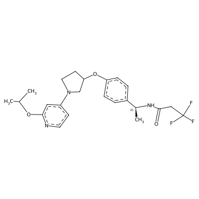 CC(C)Oc1cc(N2CCC(Oc3ccc([C@H](C)NC(=O)CC(F)(F)F)cc3)C2)ccn1